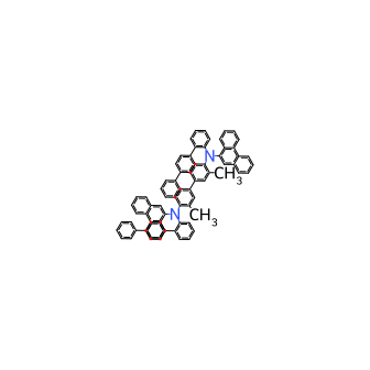 Cc1cc(-c2ccc(N(c3ccccc3-c3ccc(-c4ccccc4)cc3)c3cc4ccccc4c4ccccc34)c(C)c2)ccc1N(c1ccccc1-c1ccc(-c2ccccc2)cc1)c1cc2ccccc2c2ccccc12